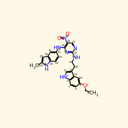 CCOc1ccc2[nH]cc(CCNc3ncc([N+](=O)[O-])c(Nc4ccc5[nH]c(C)cc5c4)n3)c2c1